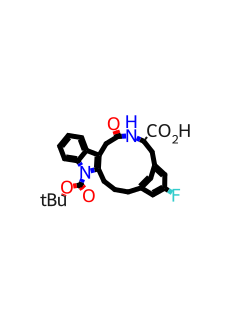 CC(C)(C)OC(=O)n1c2c(c3ccccc31)CC(=O)N[C@H](C(=O)O)Cc1cc(F)cc(c1)CCC2